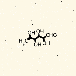 C=C(O)C(O)C(O)C(O)C=O